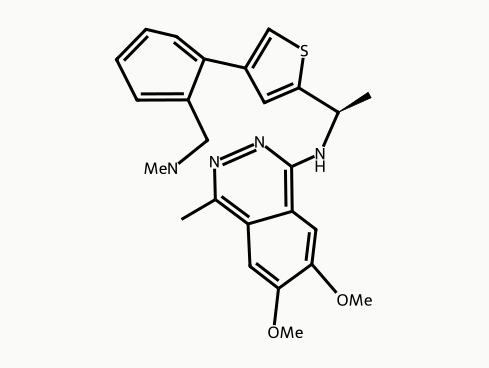 CNCc1ccccc1-c1csc([C@@H](C)Nc2nnc(C)c3cc(OC)c(OC)cc23)c1